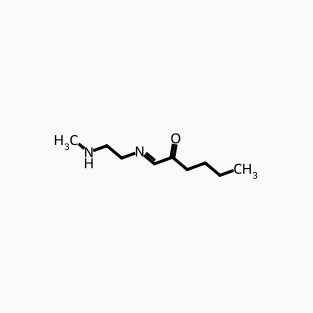 CCCCC(=O)C=NCCNC